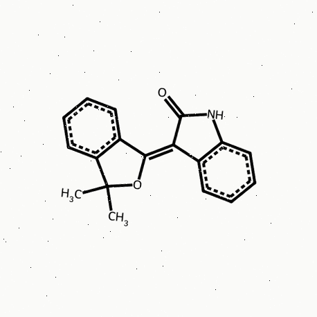 CC1(C)O/C(=C2/C(=O)Nc3ccccc32)c2ccccc21